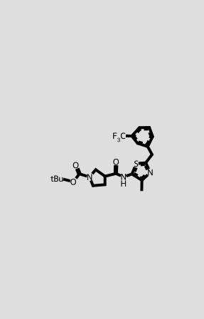 Cc1nc(Cc2cccc(C(F)(F)F)c2)sc1NC(=O)C1CCN(C(=O)OC(C)(C)C)C1